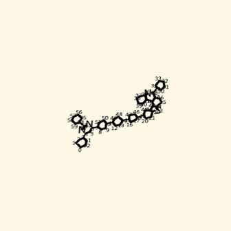 c1ccc(-c2cc(-c3ccc(-c4ccc(-c5ccc(-c6ccc7sc8ccc9c(-c%10ccccc%10)nc%10ccccc%10c9c8c7c6)cc5)cc4)cc3)nc(-c3ccccc3)n2)cc1